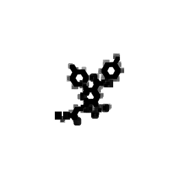 CC1CCN(c2nc(NCC(N)=O)c([N+](=O)[O-])cc2C(=O)N[C@H]2CC[C@H](C)CC2)CC1